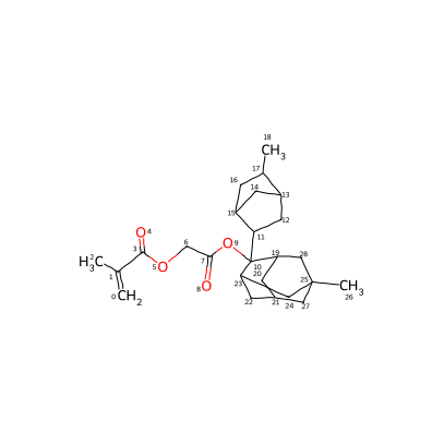 C=C(C)C(=O)OCC(=O)OC1(C2CC3CC2CC3C)C2CC3CC1CC(C)(C3)C2